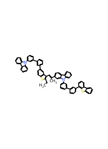 C=Cc1sc2ccc(-c3cccc(-c4cccc(-n5c6ccccc6c6ccccc65)c4)c3)cc2c1/C=C(\C)c1ccc2c3ccccc3n(-c3cccc(-c4cccc(-c5cccc6c5sc5ccccc56)c4)c3)c2c1